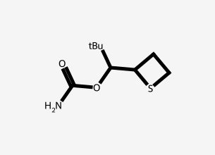 CC(C)(C)C(OC(N)=O)C1CCS1